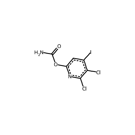 NC(=O)Oc1cc(I)c(Cl)c(Cl)n1